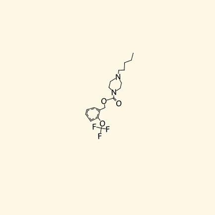 CCCCCN1CCN(C(=O)OCc2ccccc2OC(F)(F)F)CC1